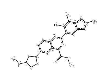 CNC(=O)c1nc(-c2cc3cn(C)nc3c(C)c2O)nc2ccc(N3CCC(NC)C3)cc12